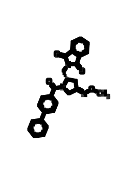 CO/N=C1\C[C@@H](CN2C(=O)c3ccccc3C2=O)N(C(=O)c2ccc(-c3ccccc3)cc2)C1